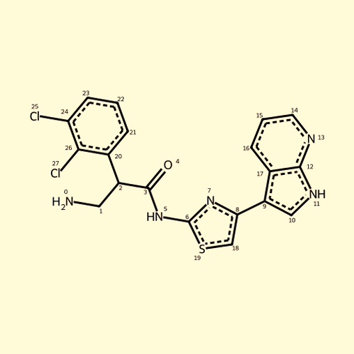 NCC(C(=O)Nc1nc(-c2c[nH]c3ncccc23)cs1)c1cccc(Cl)c1Cl